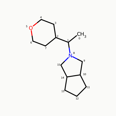 CC(C1CCOCC1)N1CC2CCCC2C1